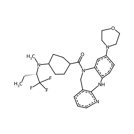 CC[C@H](N(C)C1CCC(C(=O)N2Cc3cccnc3Nc3ccc(N4CCOCC4)cc32)CC1)C(F)(F)F